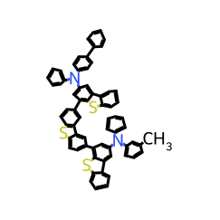 Cc1cccc(N(c2ccccc2)c2cc(-c3ccc4sc5ccc(-c6cc(N(c7ccccc7)c7ccc(-c8ccccc8)cc7)cc7c6sc6ccccc67)cc5c4c3)c3sc4ccccc4c3c2)c1